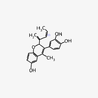 C=C(/C=C\C)C1Oc2ccc(O)cc2C(C)=C1c1ccc(O)c(O)c1